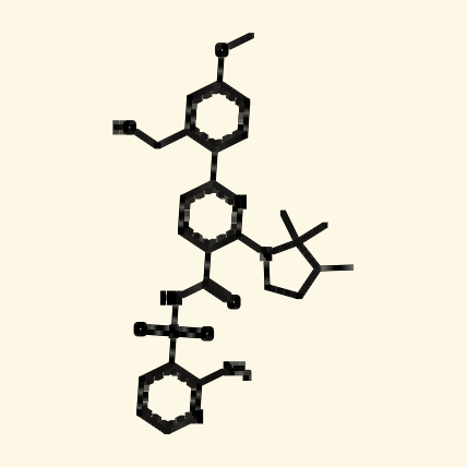 COc1ccc(-c2ccc(C(=O)NS(=O)(=O)c3cccnc3N)c(N3CCC(C)C3(C)C)n2)c(CO)c1